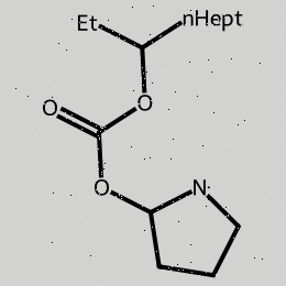 CCCCCCCC(CC)OC(=O)OC1CCC[N]1